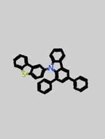 c1ccc(-c2cc(-c3ccccc3)c3c(c2)c2ccccc2n3-c2ccc3sc4ccccc4c3c2)cc1